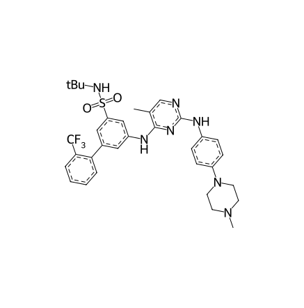 Cc1cnc(Nc2ccc(N3CCN(C)CC3)cc2)nc1Nc1cc(-c2ccccc2C(F)(F)F)cc(S(=O)(=O)NC(C)(C)C)c1